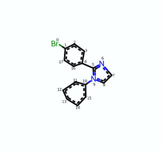 Brc1ccc(-c2nccn2-c2ccccc2)cc1